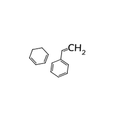 C1=CCCC=C1.C=Cc1ccccc1